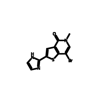 Cn1cc(Br)c2sc(-c3ncc[nH]3)cc2c1=O